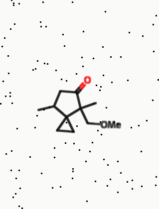 COCC1(C)C(=O)CC(C)C12CC2